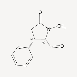 CN1C(=O)C[C@@H](c2ccccc2)[C@H]1C=O